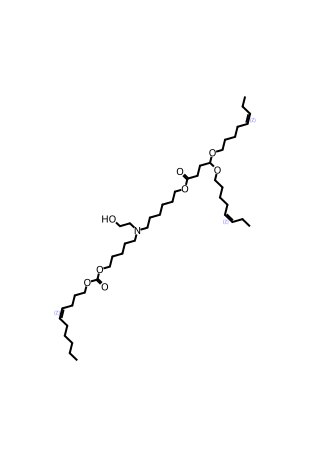 CC/C=C\CCCCOC(CCC(=O)OCCCCCCN(CCO)CCCCCOC(=O)OCCC/C=C\CCCCC)OCCCC/C=C\CC